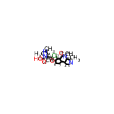 Cc1nccc2c3ccc(OCC(C)(CC(C)C)NC(=O)O)c(Cl)c3c(=O)n(C)c12